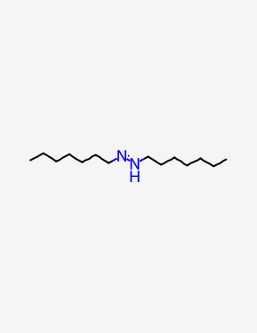 CCCCCCC[N]NCCCCCCC